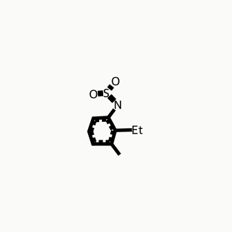 CCc1c(C)cccc1N=S(=O)=O